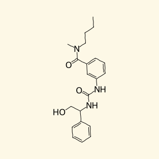 CCCCN(C)C(=O)c1cccc(NC(=O)NC(CO)c2ccccc2)c1